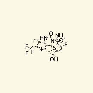 CC(C)(O)c1cc(F)c(S(N)(=O)=NC(=O)Nc2c3c(nc4c2CCC4C(F)(F)F)CCC3)s1